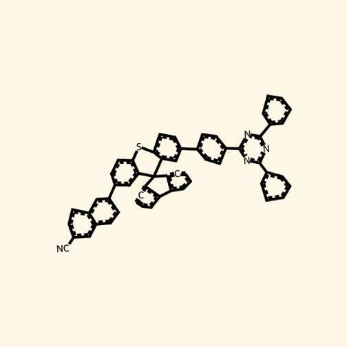 N#Cc1ccc2cc(-c3ccc4c(c3)C3(c5cc(-c6ccc(-c7nc(-c8ccccc8)nc(-c8ccccc8)n7)cc6)ccc5S4)c4ccccc4-c4ccccc43)ccc2c1